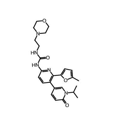 Cc1ccc(-c2nc(NC(=O)NCCN3CCOCC3)ccc2-c2ccc(=O)n(C(C)C)c2)o1